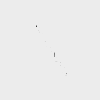 C=C(C)COCCCCCCCCCCCCCCCCCC